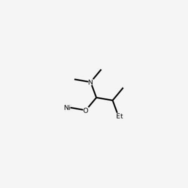 CCC(C)C([O][Ni])N(C)C